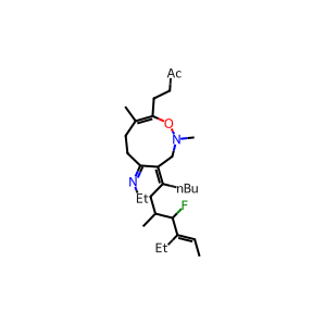 C/C=C(\CC)C(F)C(C)C/C(CCCC)=C1/CN(C)O/C(CCC(C)=O)=C(/C)CC/C1=N/CC